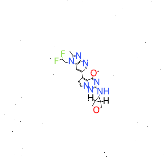 COc1nc(N[C@H]2[C@@H]3COC[C@@H]32)nn2ccc(-c3cnc4nc(C)n(CC(F)F)c4c3)c12